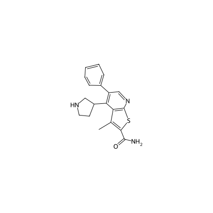 Cc1c(C(N)=O)sc2ncc(-c3ccccc3)c(C3CCNC3)c12